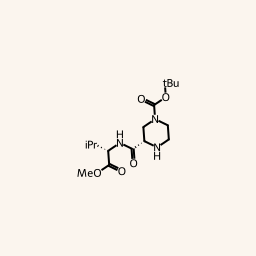 COC(=O)[C@@H](NC(=O)[C@@H]1CN(C(=O)OC(C)(C)C)CCN1)C(C)C